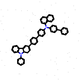 C1=C(c2ccc(-c3ccc(N(c4ccc(-c5ccccc5)cc4)c4cccc5ccccc45)cc3)cc2)C=C2c3ccccc3N(c3ccccc3)C2C1